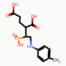 Cc1ccc(NCC(C(CCC(=O)O)C(=O)O)[PH](=O)O)cc1